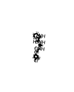 O=C(COc1ccc(Cl)c(F)c1)NC12CC(NC(=O)C3CNC4CCCNN43)(C1)C2